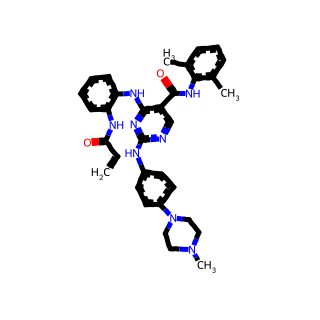 C=CC(=O)Nc1ccccc1Nc1nc(Nc2ccc(N3CCN(C)CC3)cc2)ncc1C(=O)Nc1c(C)cccc1C